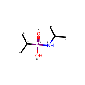 CC(C)NP(=O)(O)C(C)C